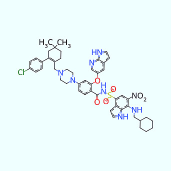 CC1(C)CCC(CN2CCN(c3ccc(C(=O)NS(=O)(=O)c4cc([N+](=O)[O-])c(NCC5CCCCC5)c5[nH]ccc45)c(Oc4cnc5[nH]ccc5c4)c3)CC2)=C(c2ccc(Cl)cc2)C1